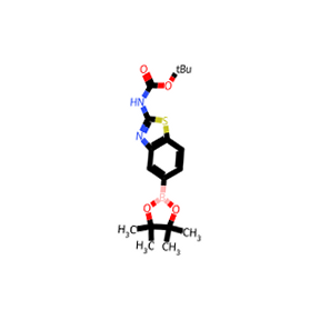 CC(C)(C)OC(=O)Nc1nc2cc(B3OC(C)(C)C(C)(C)O3)ccc2s1